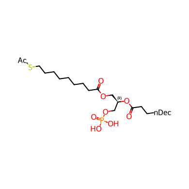 CCCCCCCCCCCCC(=O)O[C@H](COC(=O)CCCCCCCCSC(C)=O)COP(=O)(O)O